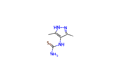 Cc1n[nH]c(C)c1NC(N)=S